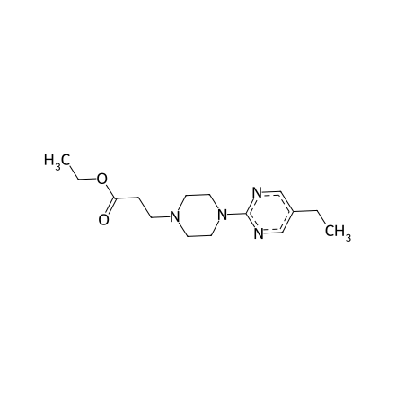 CCOC(=O)CCN1CCN(c2ncc(CC)cn2)CC1